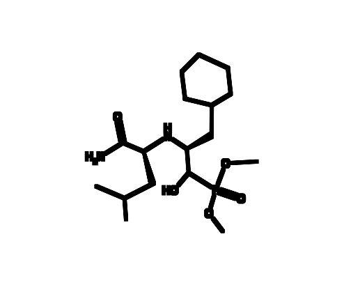 COP(=O)(OC)C(O)[C@H](CC1CCCCC1)N[C@@H](CC(C)C)C(N)=O